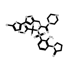 Cc1c(N2CCCC2=O)cccc1S(=O)(=O)N([C@@H](Cc1cc(-c2ccc(Cl)s2)on1)C(=O)N1CCNCC1)C(F)(F)C(=O)OF